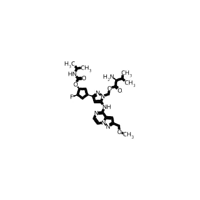 COCc1cc2c(Nc3cc([C@H]4C[C@@H](F)[C@@H](OC(=O)NC(C)C)C4)nn3COC(=O)[C@@H](N)C(C)C)nccn2n1